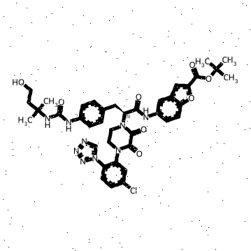 CC(C)(CCO)NC(=O)Nc1ccc(C[C@@H](C(=O)Nc2ccc3oc(C(=O)OC(C)(C)C)cc3c2)N2CCN(c3cc(Cl)ccc3-n3cnnn3)C(=O)C2=O)cc1